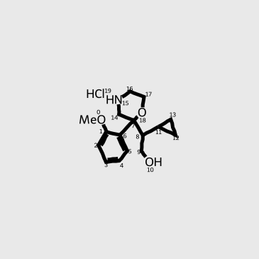 COc1ccccc1C1(C(CO)C2CC2)CNCCO1.Cl